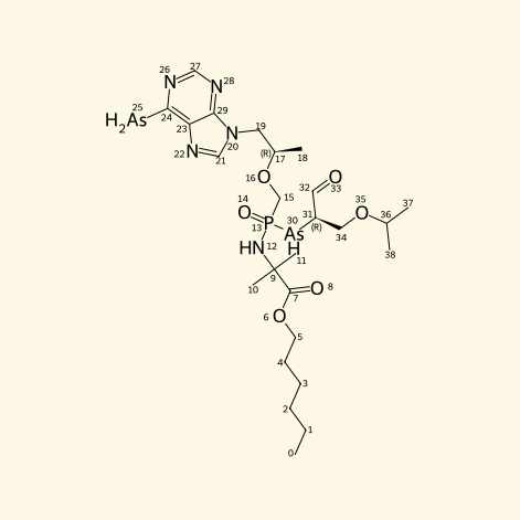 CCCCCCOC(=O)C(C)(C)NP(=O)(CO[C@H](C)Cn1cnc2c([AsH2])ncnc21)[AsH][C@@H](C=O)COC(C)C